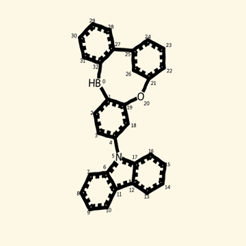 B1c2ccc(-n3c4ccccc4c4ccccc43)cc2Oc2cccc(c2)-c2ccccc21